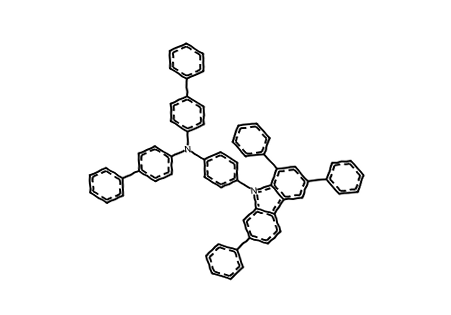 c1ccc(-c2ccc(N(c3ccc(-c4ccccc4)cc3)c3ccc(-n4c5cc(-c6ccccc6)ccc5c5cc(-c6ccccc6)cc(-c6ccccc6)c54)cc3)cc2)cc1